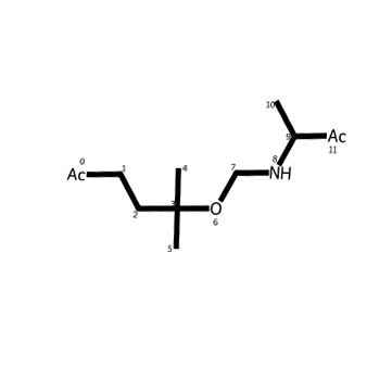 CC(=O)CCC(C)(C)OCNC(C)C(C)=O